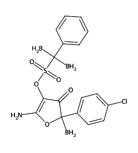 BC1(c2ccc(Cl)cc2)OC(N)=C(OS(=O)(=O)C(B)(B)c2ccccc2)C1=O